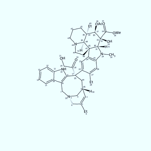 CCC1=C[C@@H]2C[N@](C1)Cc1c([nH]c3ccccc13)[C@@](C(=O)CO)(c1cc3c(cc1CC)N(C)[C@H]1[C@@](O)(C(=O)OC)[C@H](OC(C)=O)[C@]4(CC)CCCN5CC[C@]31[C@@H]54)C2